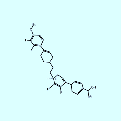 CCCC(O)C1=CCC(C2=CC[C@](C)(CCC3CC=C(c4ccc(OCC)c(F)c4C)CC3)C(F)=C2F)C=C1